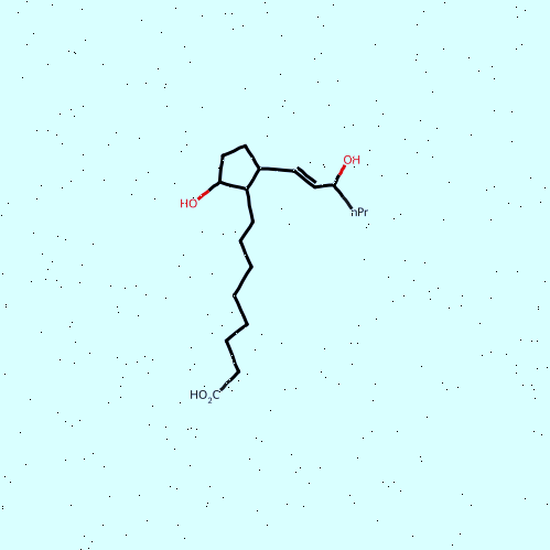 CCCC(O)/C=C/C1CCC(O)C1CCCCCCCC(=O)O